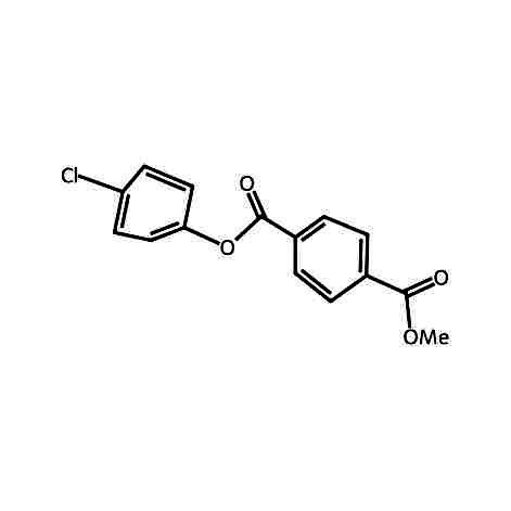 COC(=O)c1ccc(C(=O)Oc2ccc(Cl)cc2)cc1